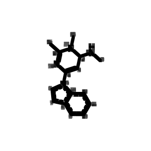 CNC1C=C(n2ccc3ccccc32)N=C(C)N1C